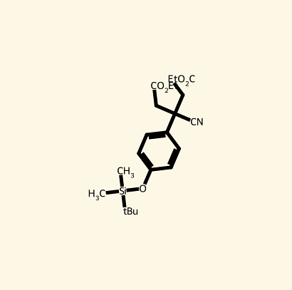 CCOC(=O)CC(C#N)(CC(=O)OCC)c1ccc(O[Si](C)(C)C(C)(C)C)cc1